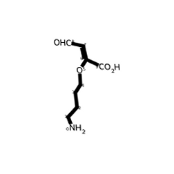 NCCCCOC(=CC=O)C(=O)O